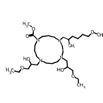 CCOCC(O)CN1CCCN(CC(O)COCC)CCN(CC(O)CCCCOC)CCCN(C(=O)OC)CCC1